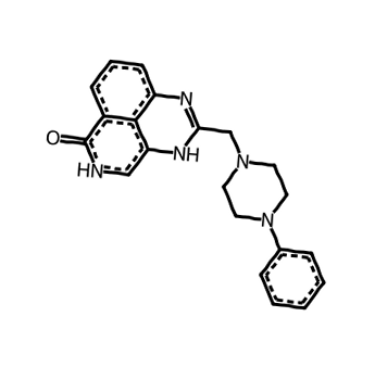 O=c1[nH]cc2c3c(cccc13)N=C(CN1CCN(c3ccccc3)CC1)N2